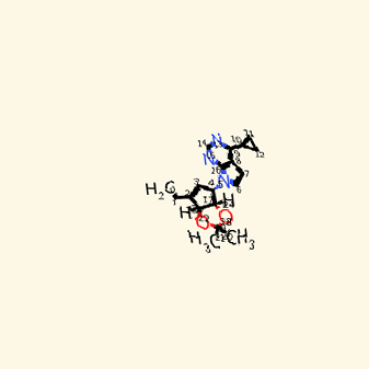 C=CC1=C[C@@H](n2ccc3c(C4CC4)ncnc32)[C@@H]2OC(C)(C)O[C@H]12